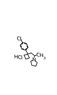 CC(CC1(c2ccc(Cl)cc2)CCC1)N1CCCC1.Cl